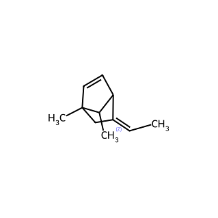 C/C=C1/CC2(C)C=CC1C2C